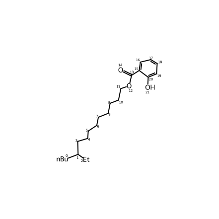 CCCCC(CC)CCCCCCCCCOC(=O)c1ccccc1O